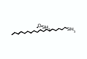 CCCCCCCCCCCCCCCCCC[SiH3].CO[SiH3]